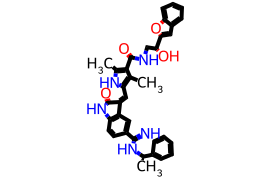 Cc1[nH]c(/C=C2\C(=O)Nc3ccc(C(=N)N[C@H](C)c4ccccc4)cc32)c(C)c1C(=O)NCC(O)c1cc2ccccc2o1